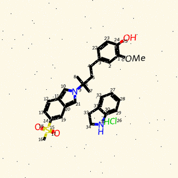 COc1cc(CCC(C)(C)n2cc3ccc(S(C)(=O)=O)cc3c2)ccc1O.Cl.c1ccc2c(c1)CCN2